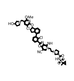 COc1nc(O[C@H]2CCc3c(-c4cccc(-c5nc6c(=N)n(CCN7CC[C@@H](C(=O)NS(=O)(=O)C8(C)CC8)C7)cc(C#N)c6o5)c4Cl)cccc32)c(Cl)cc1CN1CC[C@@H](O)C1